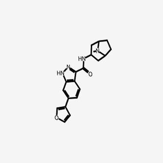 CN1C2CCC1CC(NC(=O)c1n[nH]c3cc(-c4ccoc4)ccc13)C2